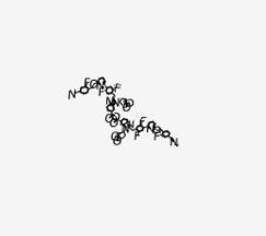 N#Cc1ccc(COc2cccc(-c3cc(F)c(Cc4nc5ccc(C(=O)OC(=O)c6ccc7nc(Cc8cc(F)c(-c9cccc(OCc%10ccc(C#N)cc%10F)n9)cc8F)n(C8CCS(=O)(=O)C8)c7c6)cc5n4C4CCS(=O)(=O)C4)cc3F)n2)c(F)c1